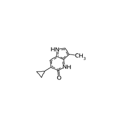 Cc1c[nH]c2cc(C3CC3)c(=O)[nH]c12